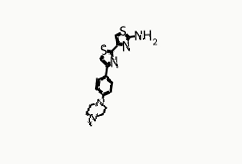 CN1CCN(c2ccc(-c3csc(-c4csc(N)n4)n3)cc2)CC1